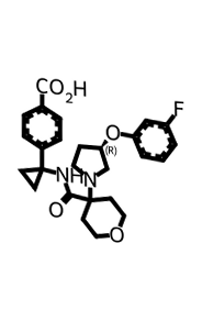 O=C(O)c1ccc(C2(NC(=O)C3(N4CC[C@@H](Oc5cccc(F)c5)C4)CCOCC3)CC2)cc1